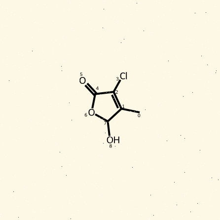 CC1=C(Cl)C(=O)OC1O